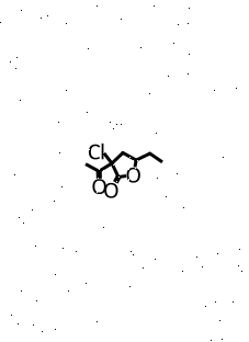 CCC1CC(Cl)(C(C)=O)C(=O)O1